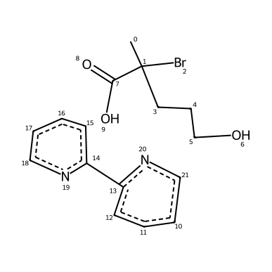 CC(Br)(CCCO)C(=O)O.c1ccc(-c2ccccn2)nc1